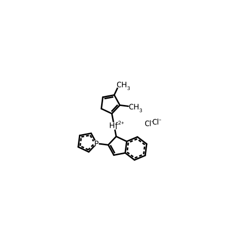 CC1=CC[C]([Hf+2][CH]2C(p3cccc3)=Cc3ccccc32)=C1C.[Cl-].[Cl-]